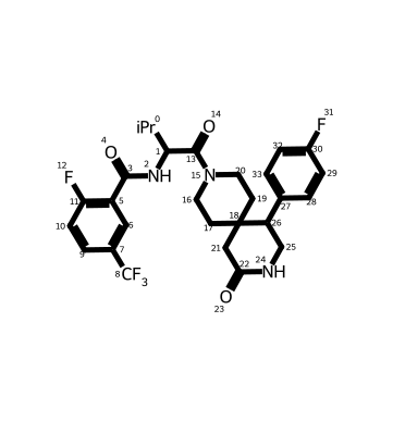 CC(C)C(NC(=O)c1cc(C(F)(F)F)ccc1F)C(=O)N1CCC2(CC1)CC(=O)NCC2c1ccc(F)cc1